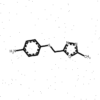 Cc1nnc(CSc2ccc(N)cc2)o1